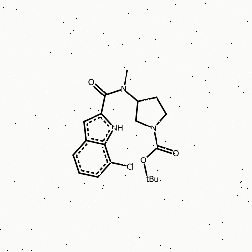 CN(C(=O)c1cc2cccc(Cl)c2[nH]1)C1CCN(C(=O)OC(C)(C)C)C1